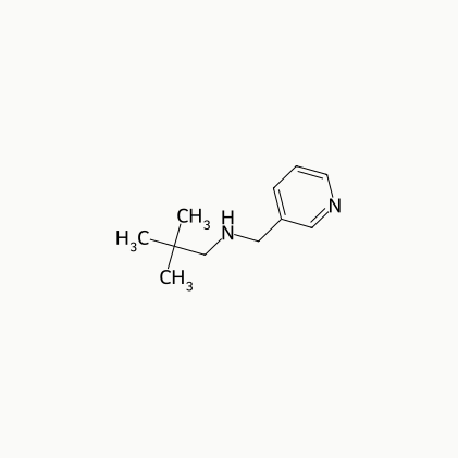 CC(C)(C)CNCc1cccnc1